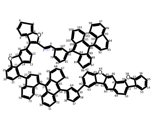 C(=C\c1oc2ccccc2c1-c1ccc2c(c1)oc1cccc(-c3ccc(-c4c5ccccc5c(-c5cccc(-c6ccc7oc8cc9c(ccc%10c%11ccccc%11oc9%10)cc8c7c6)c5)c5ccccc45)c4ccccc34)c12)/c1cccc(-c2c3ccccc3c(-c3cccc4ccccc34)c3ccccc23)c1